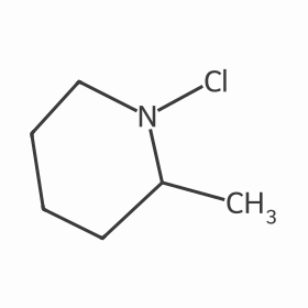 CC1CCCCN1Cl